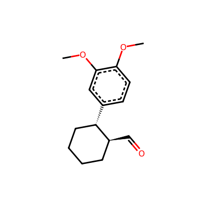 COc1ccc([C@H]2CCCC[C@@H]2C=O)cc1OC